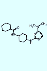 CN(C)c1ccnc(NC2CCC(NC(=O)C3CCCCC3)CC2)n1